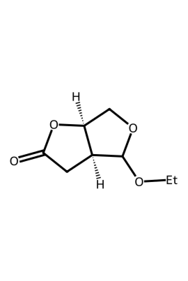 CCOC1OC[C@@H]2OC(=O)C[C@H]12